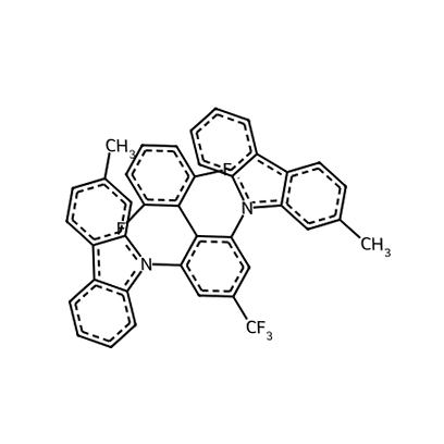 Cc1ccc2c3ccccc3n(-c3cc(C(F)(F)F)cc(-n4c5ccccc5c5ccc(C)cc54)c3-c3c(F)cccc3F)c2c1